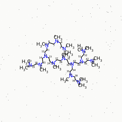 CN(C)CCN(C)CCN(C)CCN(CCN(C)CCN(C)C)CCN(C)CCN(C)CCN(CCN(C)CCN(C)C)CCN(CCN(C)C)CCN(C)C